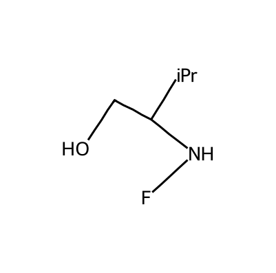 CC(C)C(CO)NF